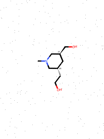 CN1C[C@@H](CO)C[C@H](CCO)C1